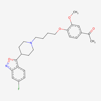 COc1cc(C(C)=O)ccc1OCCCCN1CCC(c2onc3cc(F)ccc23)CC1